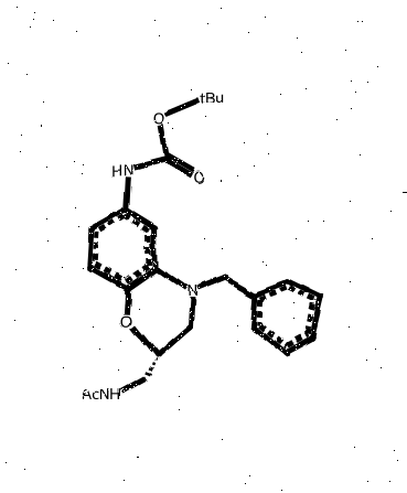 CC(=O)NC[C@H]1CN(Cc2ccccc2)c2cc(NC(=O)OC(C)(C)C)ccc2O1